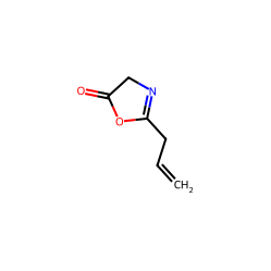 C=CCC1=NCC(=O)O1